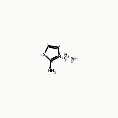 Br.Nc1nccs1.O